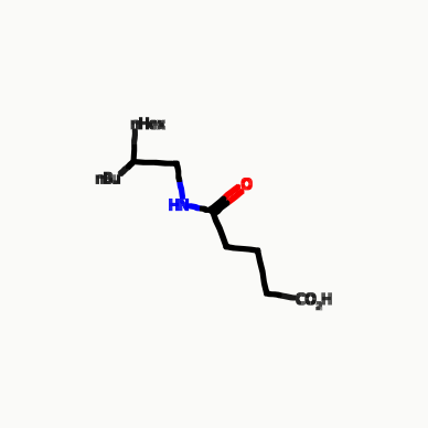 CCCCCCC(CCCC)CNC(=O)CCCC(=O)O